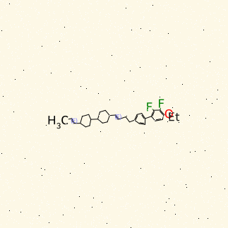 C/C=C/C1CCC(C2CCC(/C=C/CCc3ccc(-c4ccc(OCC)c(F)c4F)cc3)CC2)CC1